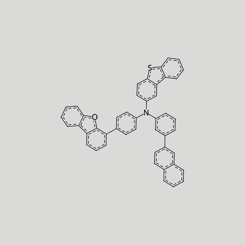 c1cc(-c2ccc3ccccc3c2)cc(N(c2ccc(-c3cccc4c3oc3ccccc34)cc2)c2ccc3sc4ccccc4c3c2)c1